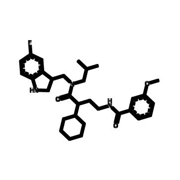 COc1cccc(C(=O)NCCC(C(=O)N(CC(C)C)CC2CNc3ccc(F)cc32)C2CCCCC2)c1